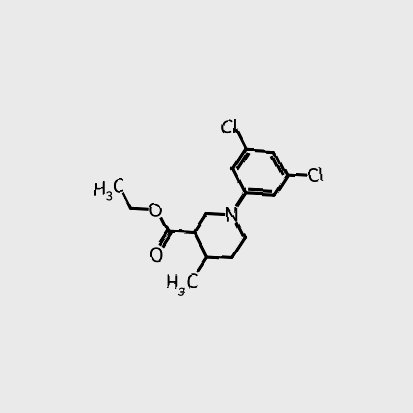 CCOC(=O)C1CN(c2cc(Cl)cc(Cl)c2)CCC1C